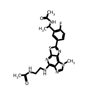 CC(=O)NCCNc1nc2sc(-c3ccc(F)c(C(C)NC(C)=O)c3)nc2c2c1ncn2C